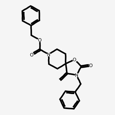 C=C1N(Cc2ccccc2)C(=O)OC12CCN(C(=O)OCc1ccccc1)CC2